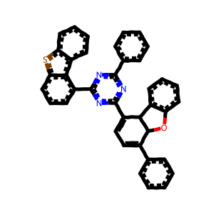 C1=C(c2ccccc2)C2Oc3ccccc3C2C(c2nc(-c3ccccc3)nc(-c3cccc4sc5ccccc5c34)n2)=C1